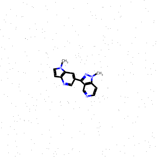 Cn1ccc2ncc(-c3nn(C)c4ccncc34)cc21